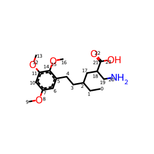 CCC(CCc1cc(OC)cc(OC)c1OC)CC(CN)C(=O)O